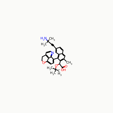 Cc1cc2ccc(C#CC(C)(C)N)cc2c(-c2ccc3c4c(ccnc24)CCO3)c1C(OC(C)(C)C)C(=O)O